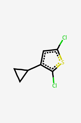 Clc1cc(C2CC2)c(Cl)s1